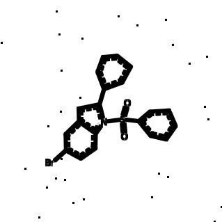 O=S(=O)(c1ccccc1)n1c(-c2ccccc2)cc2cc(Br)ccc21